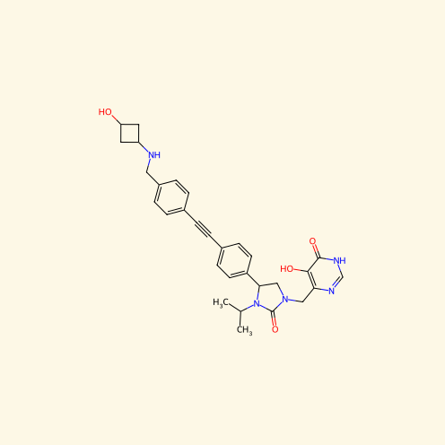 CC(C)N1C(=O)N(Cc2nc[nH]c(=O)c2O)CC1c1ccc(C#Cc2ccc(CNC3CC(O)C3)cc2)cc1